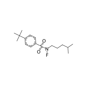 CC(C)CCCN(F)S(=O)(=O)c1ccc(C(C)(C)C)cc1